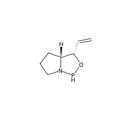 C=C[C@@H]1OPN2CCC[C@H]12